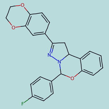 Fc1ccc(C2Oc3ccccc3C3CC(c4ccc5c(c4)OCCO5)=NN32)cc1